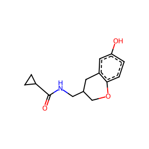 O=C(NCC1COc2ccc(O)cc2C1)C1CC1